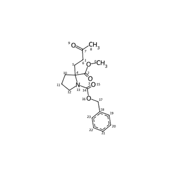 COC(=O)C1(CCC(C)=O)CCCN1C(=O)OCc1ccccc1